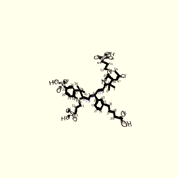 CC1(C)C(/C=C/C(=C/C=C2/N(CCCS(=O)(=O)O)c3ccc(S(=O)(=O)O)cc3C2(C)C)c2cccc(CCCCC(=O)O)c2)=Nc2c1cc(Cl)c[n+]2CCCS(=O)(=O)O